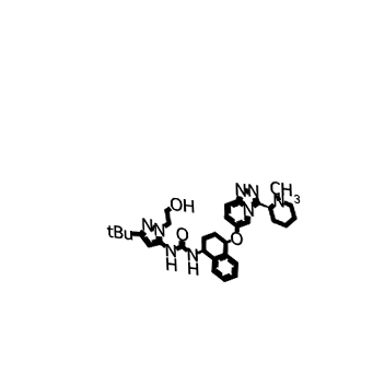 CN1CCCC[C@H]1c1nnc2ccc(O[C@@H]3CC[C@H](NC(=O)Nc4cc(C(C)(C)C)nn4CCO)c4ccccc43)cn12